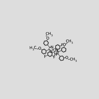 CCOc1cccc(C2=NC(c3ccc(F)cc3F)(C3(c4ccc(F)cc4F)N=C(c4cccc(OCC)c4)C(c4cccc(OCC)c4)=N3)N=C2c2cccc(OCC)c2)c1